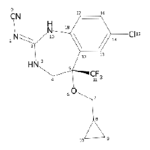 N#C/N=C1/NC[C@](OCC2CC2)(C(F)(F)F)c2cc(Cl)ccc2N1